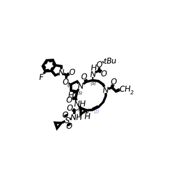 C=CC(=O)N1CC/C=C\[C@@H]2C[C@@]2(C(=O)NS(=O)(=O)C2CC2)NC(=O)[C@@H]2C[C@@H](OC(=O)N3Cc4cccc(F)c4C3)CN2C(=O)[C@@H](NC(=O)OC(C)(C)C)CC1